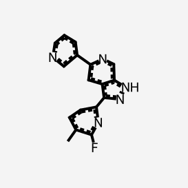 Cc1ccc(-c2n[nH]c3cnc(-c4cccnc4)cc23)nc1F